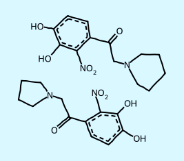 O=C(CN1CCCC1)c1ccc(O)c(O)c1[N+](=O)[O-].O=C(CN1CCCCC1)c1ccc(O)c(O)c1[N+](=O)[O-]